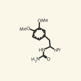 CCCC(Cc1ccc(OC)c(OC)c1)NC(N)=O